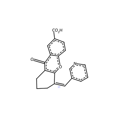 O=C(O)c1ccc2oc3c(c(=O)c2c1)CCC/C3=C/c1cccnc1